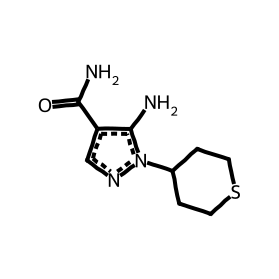 NC(=O)c1cnn(C2CCSCC2)c1N